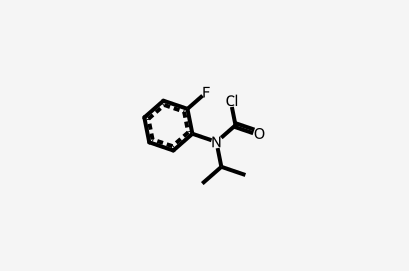 CC(C)N(C(=O)Cl)c1ccccc1F